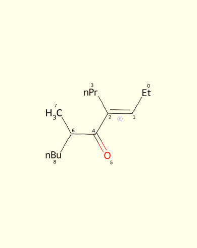 CC/C=C(\CCC)C(=O)C(C)CCCC